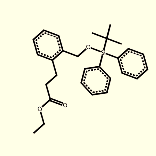 CCOC(=O)CCc1ccccc1CO[Si](c1ccccc1)(c1ccccc1)C(C)(C)C